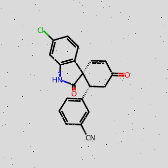 N#Cc1cccc([C@H]2CC(=O)C=C[C@@]23C(=O)Nc2cc(Cl)ccc23)c1